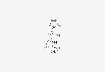 CC1(C)N[C@@H](C[C@@H](O)c2ccns2)CO1